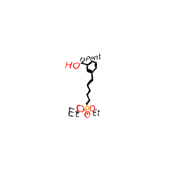 CCCCCC(O)c1cccc(C=CCCCCP(=O)(OCC)OCC)c1